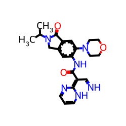 CC(C)N1Cc2cc(NC(=O)/C(C=N)=C3\N=CC=CN3)c(N3CCOCC3)cc2C1=O